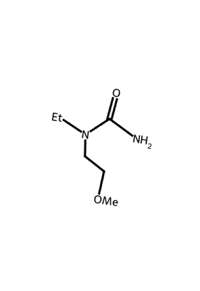 [CH2]CN(CCOC)C(N)=O